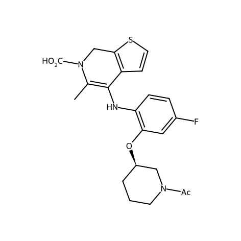 CC(=O)N1CCC[C@@H](Oc2cc(F)ccc2NC2=C(C)N(C(=O)O)Cc3sccc32)C1